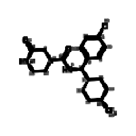 O=C1CN(C(=O)N[C@@H](c2ccc(Cl)cc2)[C@H]2CC[C@H](C(F)(F)F)CC2)CCN1